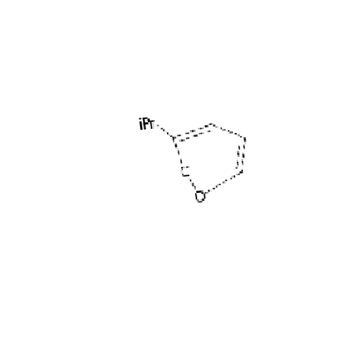 CC(C)C1=CC=COC1